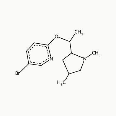 CC1CC(C(C)Oc2ccc(Br)cn2)N(C)C1